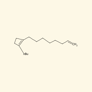 C=CCCCCCCC1=C(CCCC)CC1